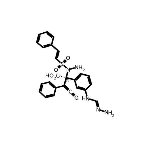 NN=CNc1cccc([C@@](C(=O)O)(C(=C=O)c2ccccc2)N(N)S(=O)(=O)C=Cc2ccccc2)c1